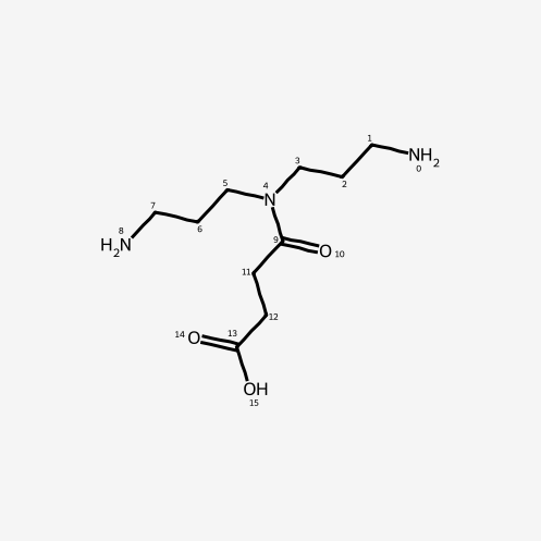 NCCCN(CCCN)C(=O)CCC(=O)O